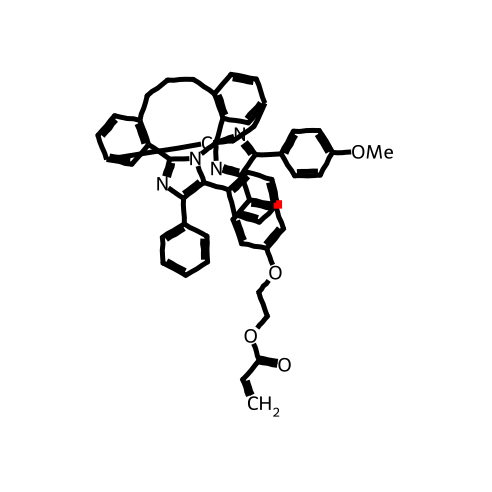 C=CC(=O)OCCOc1ccc(C2=NC3(N=C2c2ccc(OC)cc2)c2cc4ccc2CCCc2ccc(cc2-c2nc(-c5ccccc5)c(-c5ccccc5)n23)CCC4)cc1